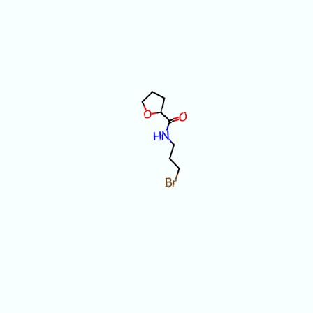 O=C(NCCCBr)C1CCCO1